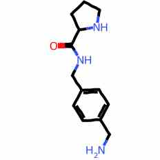 NCc1ccc(CNC(=O)C2CCCN2)cc1